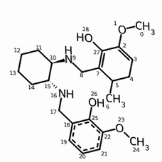 COC1=CCC(C)C(CN[C@@H]2CCCC[C@H]2NCc2cccc(OC)c2O)=C1O